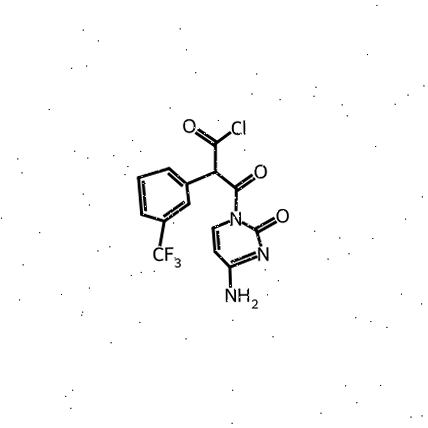 Nc1ccn(C(=O)C(C(=O)Cl)c2cccc(C(F)(F)F)c2)c(=O)n1